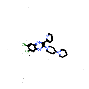 Clc1cc2nc(-c3ccccn3)c(N3CCC(N4CCCCC4)CC3)nc2cc1Cl